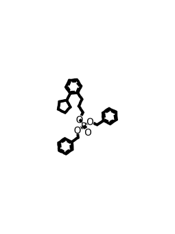 O=P(OCCCc1ccccc1C1CCCC1)(OCc1ccccc1)OCc1ccccc1